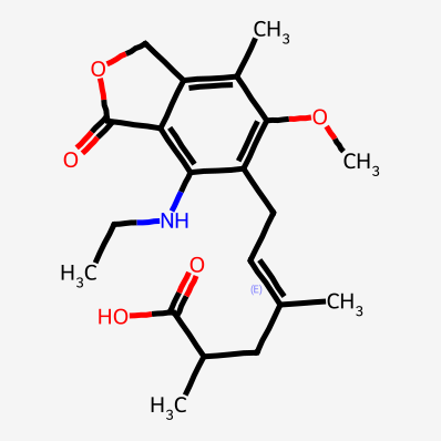 CCNc1c(C/C=C(\C)CC(C)C(=O)O)c(OC)c(C)c2c1C(=O)OC2